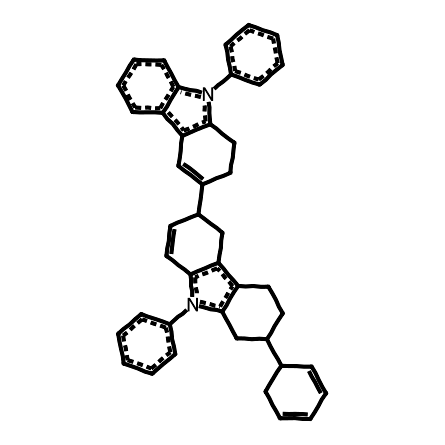 C1=CCC(C2CCc3c4c(n(-c5ccccc5)c3C2)C=CC(C2=Cc3c(n(-c5ccccc5)c5ccccc35)CC2)C4)C=C1